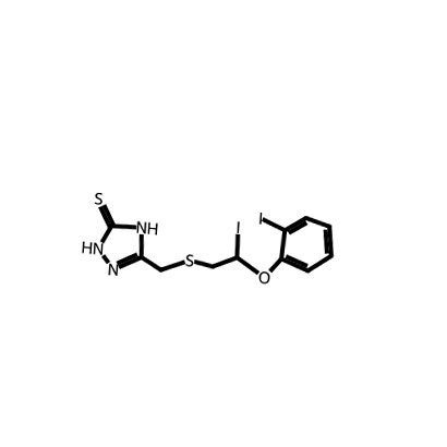 S=c1[nH]nc(CSCC(I)Oc2ccccc2I)[nH]1